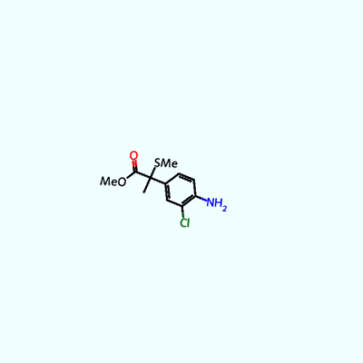 COC(=O)C(C)(SC)c1ccc(N)c(Cl)c1